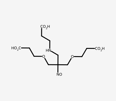 O=NC(CNCCC(=O)O)(COCCC(=O)O)COCCC(=O)O